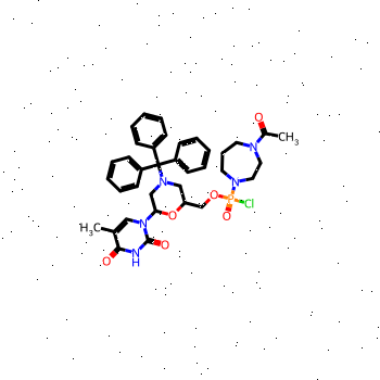 CC(=O)N1CCCN(P(=O)(Cl)OCC2CN(C(c3ccccc3)(c3ccccc3)c3ccccc3)CC(n3cc(C)c(=O)[nH]c3=O)O2)CC1